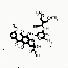 COCC(COC)C(C#N)NC1CC(O[C@H]2C[C@](O)(C(=O)CO)Cc3c(O)c4c(c(O)c32)C(=O)c2c(OC)cccc2C4=O)OC(C)C1O